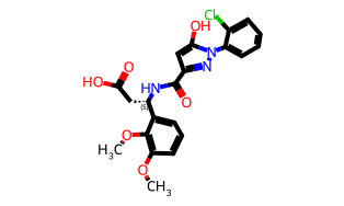 COc1cccc([C@H](CC(=O)O)NC(=O)c2cc(O)n(-c3ccccc3Cl)n2)c1OC